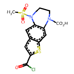 CS(=O)(=O)N1CCN(C(=O)O)c2cc3sc(C(=O)Cl)cc3cc21